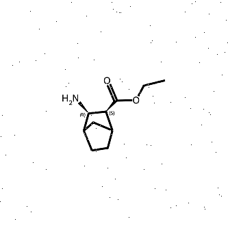 CCOC(=O)[C@H]1C2CCC(C2)[C@H]1N